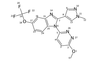 COc1ccc(-n2c(-c3cnn(C)c3)nc3cc(OC(F)(F)F)ccc32)nn1